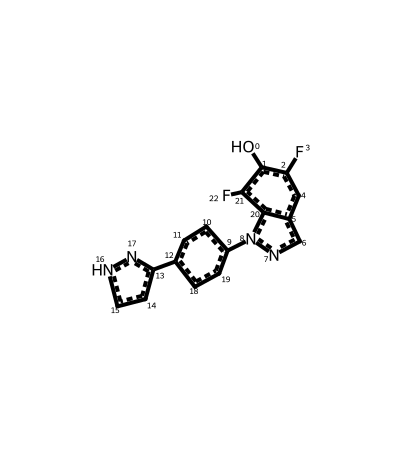 Oc1c(F)cc2cnn(-c3ccc(-c4cc[nH]n4)cc3)c2c1F